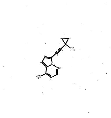 CC1(C#Cc2ccc3c(N)ncnn23)CC1